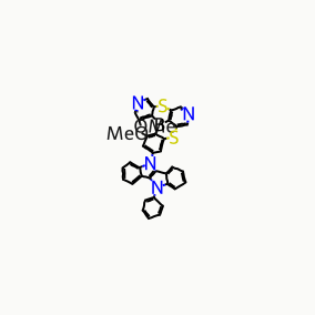 COc1cncc2c1B1c3c(OC)cc(-n4c5ccccc5c5c4c4ccccc4n5-c4ccccc4)cc3Sc3cncc(c31)S2